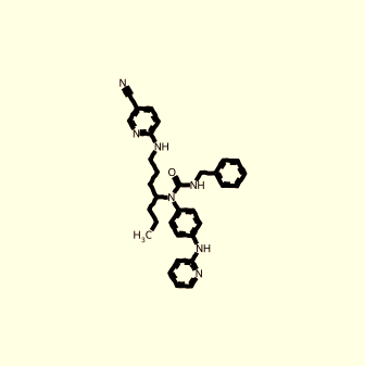 CCCC(CCCNc1ccc(C#N)cn1)N(C(=O)NCc1ccccc1)c1ccc(Nc2ccccn2)cc1